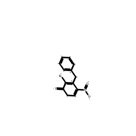 O=[N+]([O-])C1=CCC(=S)C(Br)=C1Cc1ccccc1